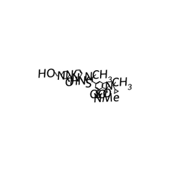 CNS(=O)(=O)c1cc(-c2sc(Nc3cccc(N4CCN(CCO)CC4=O)n3)nc2C)cc2c1C(=O)N(C(C)C1CC1)C2